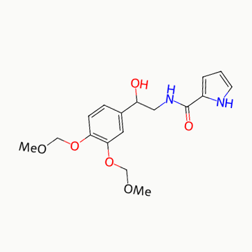 COCOc1ccc(C(O)CNC(=O)c2ccc[nH]2)cc1OCOC